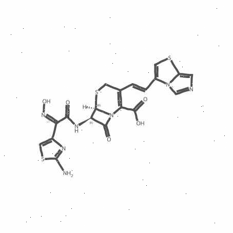 Nc1nc(/C(=N/O)C(=O)N[C@@H]2C(=O)N3C(C(=O)O)=C(C=Cc4csc5cncn45)CS[C@H]23)cs1